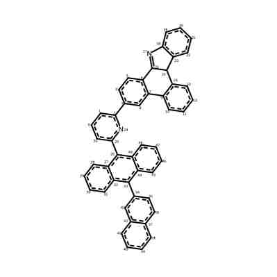 c1cc(-c2ccc3c(c2)-c2ccccc2C2C3=Nc3ccccc32)nc(-c2c3ccccc3c(-c3ccc4ccccc4c3)c3ccccc23)c1